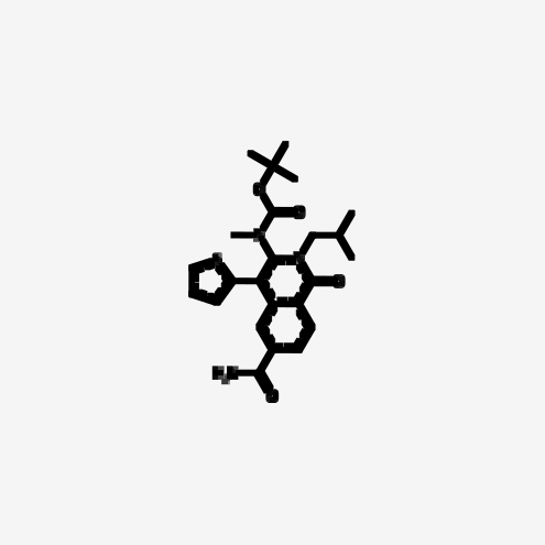 CC(C)Cn1c(N(C)C(=O)OC(C)(C)C)c(-c2cccs2)c2cc(C(N)=O)ccc2c1=O